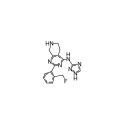 FCc1ccccc1-c1nc2c(c(Nc3nc[nH]n3)n1)CCNC2